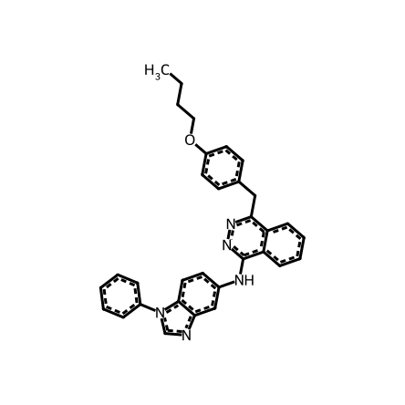 CCCCOc1ccc(Cc2nnc(Nc3ccc4c(c3)ncn4-c3ccccc3)c3ccccc23)cc1